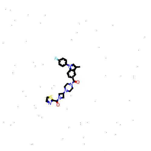 Cc1cn(-c2ccc(F)cc2)c2ccc(C(=O)N3CCN(C4CN(C(=O)c5nccs5)C4)CC3)cc12